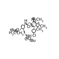 Cc1sc2c(c1C)C(c1ccc(Cl)cc1)=N[C@@H](CC(=O)Nc1ccc(CO[Si](C)(C)C(C)(C)C)c(C#CCNC(=O)OC(C)(C)C)c1)c1nnc(C)n1-2